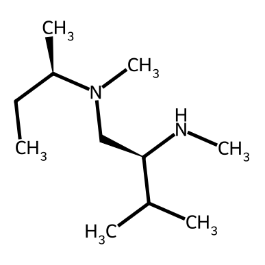 CC[C@@H](C)N(C)C[C@@H](NC)C(C)C